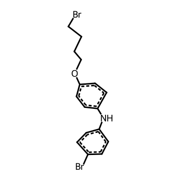 BrCCCCOc1ccc(Nc2ccc(Br)cc2)cc1